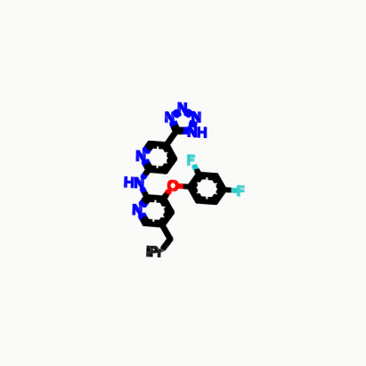 CC(C)Cc1cnc(Nc2ccc(-c3nnn[nH]3)cn2)c(Oc2ccc(F)cc2F)c1